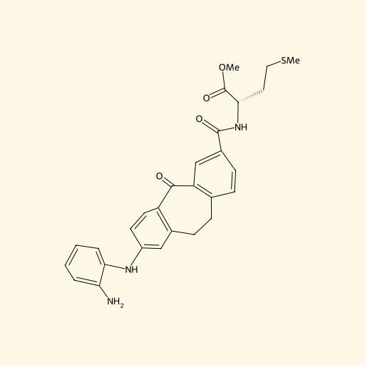 COC(=O)[C@H](CCSC)NC(=O)c1ccc2c(c1)C(=O)c1ccc(Nc3ccccc3N)cc1CC2